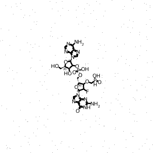 Nc1nc2c(ncn2[C@@H]2O[C@H](COP(=O)(O)OC3C(O)[C@@H](CO)O[C@H]3n3cnc4c(N)ncnc43)C(OC[PH](=O)O)C2F)c(=O)[nH]1